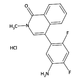 Cl.Cn1cc(-c2cc(N)c(F)cc2F)c2ccccc2c1=O